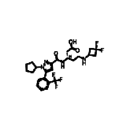 O=C(O)C[C@H](CCNC1CC(F)(F)C1)NC(=O)c1cc(-c2ccccc2C(F)(F)F)n(C2CCCC2)n1